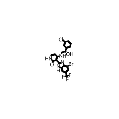 O=c1[nH]ccc(NCC(O)c2cccc(Cl)c2)c1-c1nc2c(Br)cc(C(F)(F)F)cc2[nH]1